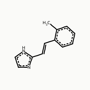 Cc1ccccc1C=Cc1ncc[nH]1